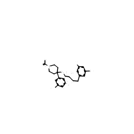 CC(=O)N[C@@H](Cc1cc(F)cc(F)c1)[C@@H](O)CNC1(c2cccc(C(C)C)c2)CCN(C(=O)C(F)(F)F)CC1